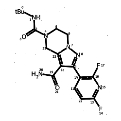 CC(C)(C)NC(=O)N1CCn2nc(-c3ccc(F)nc3F)c(C(N)=O)c2C1